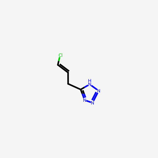 ClC=CCc1nnn[nH]1